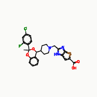 CC1(c2ccc(Cl)cc2F)Oc2ccccc2C(C2CCN(Cc3nc4sc(C(=O)O)cc4[nH]3)CC2)O1